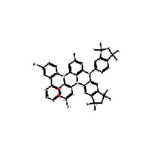 Cc1cc2c3c(c1)N(c1ccc(C(C)(C)C)cc1-c1ccccc1)c1ccc(C(C)(C)C)cc1B3c1cc3c(cc1N2c1ccc2c(c1)C(C)(C)CC2(C)C)C(C)(C)CC3(C)C